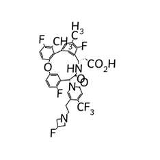 Cc1cc2cc(c1F)[C@H](CC(=O)O)NC(=O)[C@H](n1cc(CCN3CC(F)C3)c(C(F)(F)F)cc1=O)c1cc(ccc1F)Oc1ccc(F)c(C)c1-2